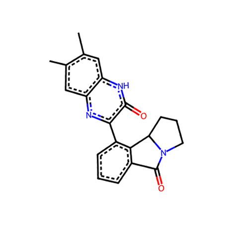 Cc1cc2nc(-c3cccc4c3C3CCCN3C4=O)c(=O)[nH]c2cc1C